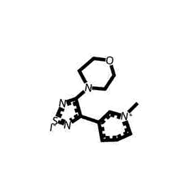 C[n+]1cccc(-c2nsnc2N2CCOCC2)c1.[I-]